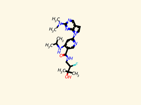 CC(C)Nc1cc(-n2ccc3cnc(N(C)C)nc32)ncc1C(=O)NCC(F)C(C)(C)O